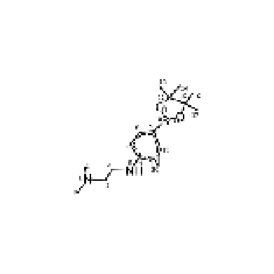 CN(C)CCNc1ccc(B2OC(C)(C)C(C)(C)O2)cn1